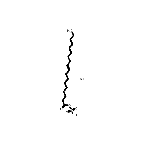 CCCCCCCCC=CCCCCCCCC(=O)OS(=O)(=O)O.N